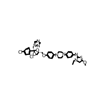 CCN1CC(OC)SC1=Nc1ccc(N2CCN(c3ccc(OC[C@@H]4CO[C@@](Cn5cncn5)(c5ccc(Cl)cc5Cl)O4)cc3)CC2)cc1